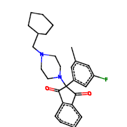 Cc1cc(F)cc(C2(N3CCN(CC4CCCCC4)CC3)C(=O)c3ccccc3C2=O)c1